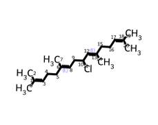 CC(C)=CCC/C(C)=C/CC(Cl)/C=C(\C)CCC=C(C)C